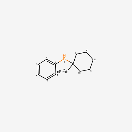 CCCCCC1(Pc2ccccc2)CCCCC1